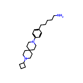 NCCCCCc1ccc(N2CCC3(CC2)CCN(C2CCC2)CC3)cc1